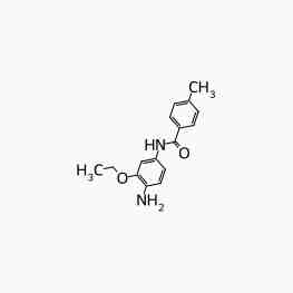 CCOc1cc(NC(=O)c2ccc(C)cc2)ccc1N